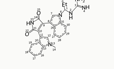 CCC(NC(=N)N)n1cc(C2=C(c3cn(C)c4ccccc34)C(=O)NC2=O)c2ccccc21